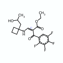 CCOC(=O)/C(=C/NC1(CC(C)O)CCC1)C(=O)c1cc(F)c(F)c(F)c1F